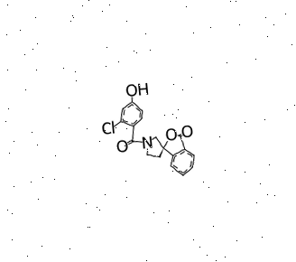 O=C1O[C@]2(CCN(C(=O)c3ccc(O)cc3Cl)C2)c2ccccc21